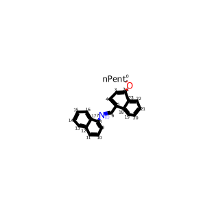 CCCCCOc1ccc(/C=N/c2cccc3ccccc23)c2ccccc12